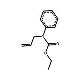 C=CCN(C(=O)OCC)c1ccccc1